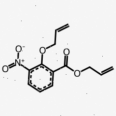 C=CCOC(=O)c1cccc([N+](=O)[O-])c1OCC=C